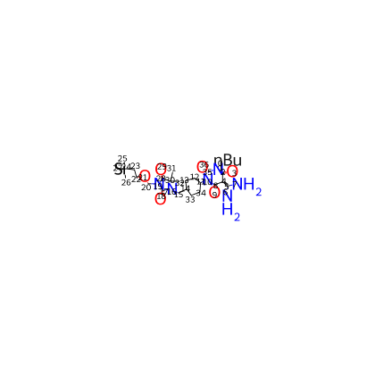 CCCCN1C(=O)C(=C(N)N)C(=O)N(C2CCC(CN3C(=O)N(COCC[Si](C)(C)C)C(=O)C3(C)C)CC2)C1=O